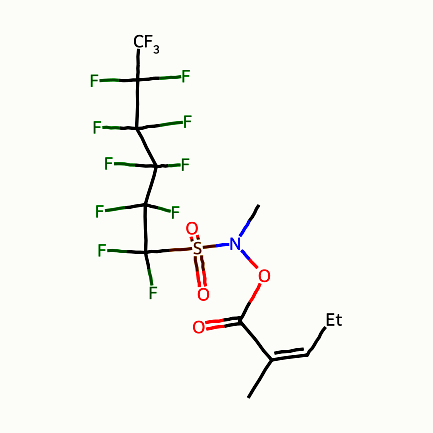 CCC=C(C)C(=O)ON(C)S(=O)(=O)C(F)(F)C(F)(F)C(F)(F)C(F)(F)C(F)(F)C(F)(F)F